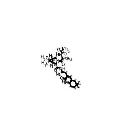 CC(C)(C)[C@H](NS(C)(=O)=O)C(=O)N1C[C@H]2[C@@H]([C@H]1C(=O)NC(C#N)Cc1cc3c([nH]c1=O)CCC(F)(F)C3)C2(C)C